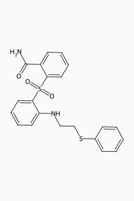 NC(=O)c1ccccc1S(=O)(=O)c1ccccc1NCCSc1ccccc1